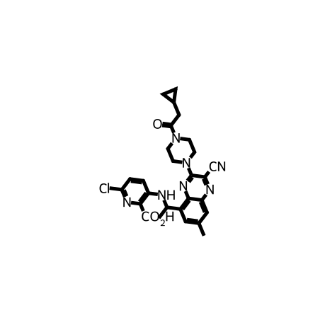 Cc1cc(C(C)Nc2ccc(Cl)nc2C(=O)O)c2nc(N3CCN(C(=O)CC4CC4)CC3)c(C#N)nc2c1